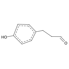 O=[C]CCc1ccc(O)cc1